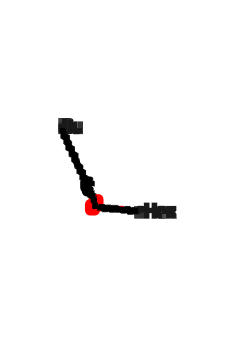 CCCCCCC=CCCCCCCCCCCCC(=O)OCCCCCCCCCCCCCCCCCCCCCCCCCC(C)CC